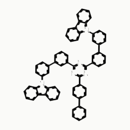 c1ccc(-c2ccc(-c3nc(-c4cccc(-c5cccc(-n6c7ccccc7c7ccccc76)c5)c4)nc(-c4cccc(-c5cccc(-n6c7ccccc7c7ccccc76)c5)c4)n3)cc2)cc1